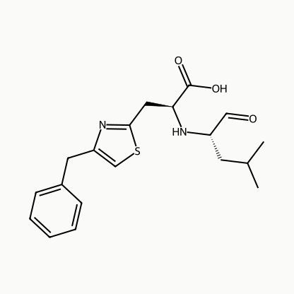 CC(C)C[C@@H](C=O)N[C@@H](Cc1nc(Cc2ccccc2)cs1)C(=O)O